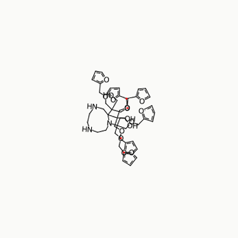 OCC(COCc1ccco1)(COCc1ccco1)N1CCNCCNCC1(C(CO)(COCc1ccco1)COCc1ccco1)C(CO)(COCc1ccco1)COCc1ccco1